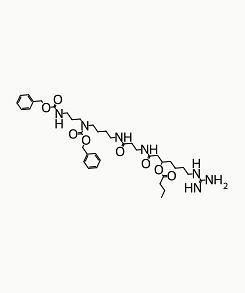 CCCC(=O)OC(CCCCNC(=N)N)CC(=O)NCCC(=O)NCCCCN(CCCNC(=O)OCc1ccccc1)C(=O)OCc1ccccc1